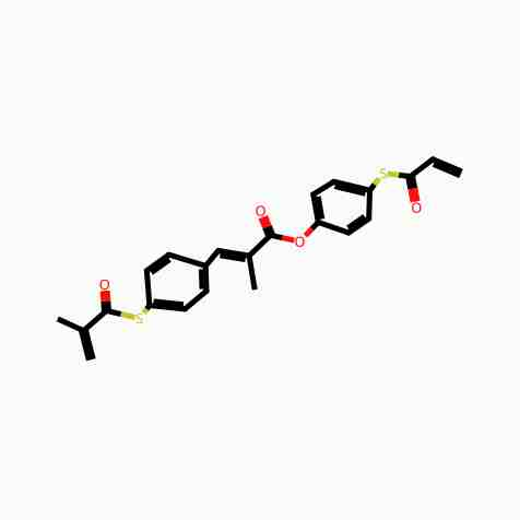 C=CC(=O)Sc1ccc(OC(=O)/C(C)=C/c2ccc(SC(=O)C(=C)C)cc2)cc1